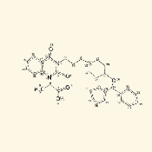 CC(C(=O)O)n1c(=O)n(CCCN2CCC(OC(c3ccccc3)c3ccccc3)CC2)c(=O)c2ccccc21